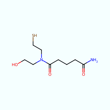 NC(=O)CCCC(=O)N(CCO)CCS